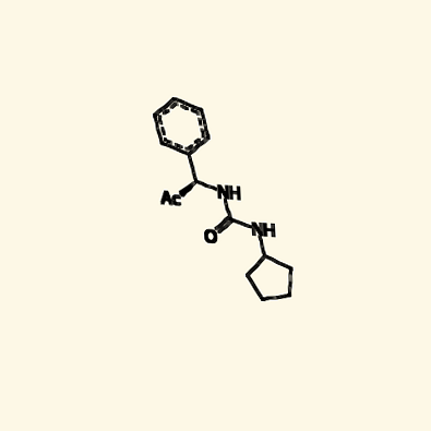 CC(=O)[C@H](NC(=O)NC1CCCC1)c1ccccc1